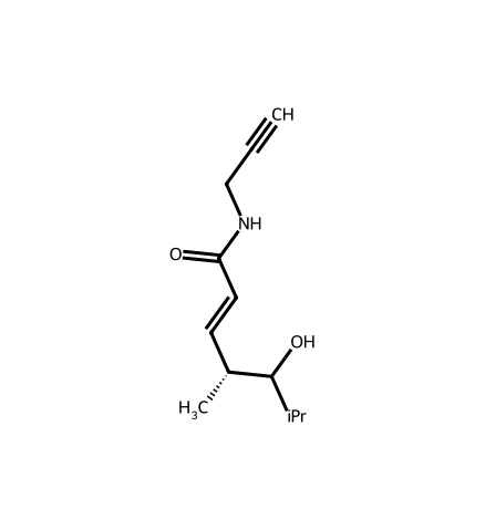 C#CCNC(=O)/C=C/[C@@H](C)C(O)C(C)C